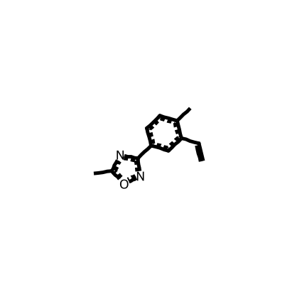 C=Cc1cc(-c2noc(C)n2)ccc1C